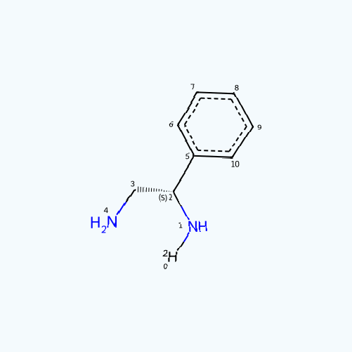 [2H]N[C@H](CN)c1ccccc1